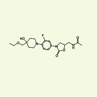 CCOCC1(O)CCN(c2ccc(N3CC(CNC(C)=O)OC3=O)cc2F)CC1